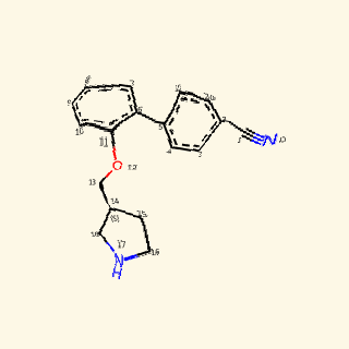 N#Cc1ccc(-c2ccccc2OC[C@H]2CCNC2)cc1